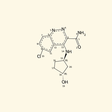 NC(=O)c1nnc2ccc(Cl)cc2c1N[C@@H]1CC[C@@H](O)C1